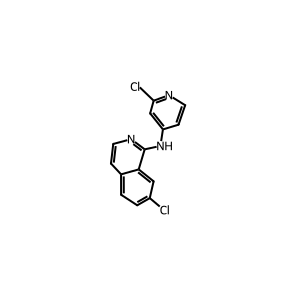 Clc1ccc2ccnc(Nc3ccnc(Cl)c3)c2c1